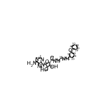 Nc1ncnc2c1ncn2[C@@H]1O[C@H](C(=O)NCCCNCCc2cccc(Oc3ccccc3)c2)[C@@H](O)[C@H]1O